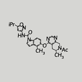 CC(=O)N1Cc2ncnc(Oc3ccc4c(ccn4C(=O)Nc4cc(C(C)C)on4)c3C)c2CC1C